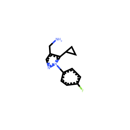 NCc1cnn(-c2ccc(F)cc2)c1C1CC1